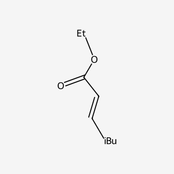 CCOC(=O)/C=C/C(C)CC